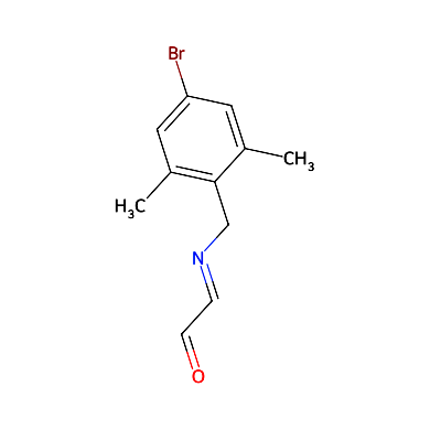 Cc1cc(Br)cc(C)c1CN=CC=O